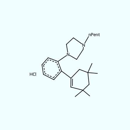 CCCCCN1CCN(c2ccccc2C2=CC(C)(C)CC(C)(C)C2)CC1.Cl